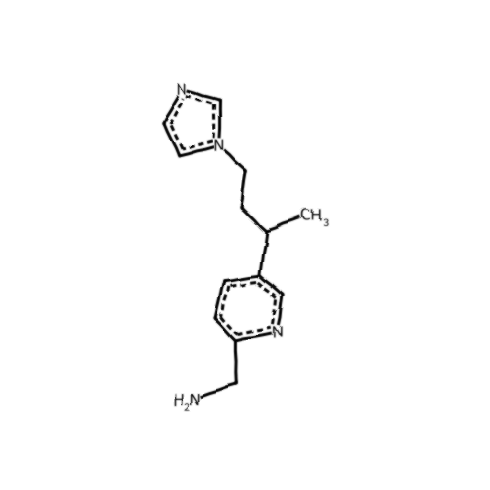 CC(CCn1ccnc1)c1ccc(CN)nc1